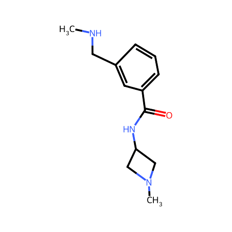 CNCc1cccc(C(=O)NC2CN(C)C2)c1